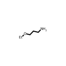 [CH2]COCCCN